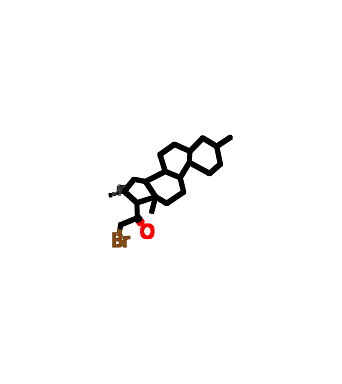 CC1CCC2C(CCC3C2CCC2(C)C3C[C@@H](C)C2C(=O)CBr)C1